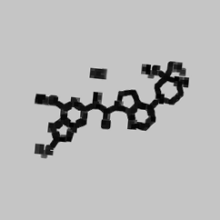 COc1nc(NC(=O)N2CCc3c(N4CCNC(C)(C)C4)ccnc32)cn2cc(C)nc12.Cl